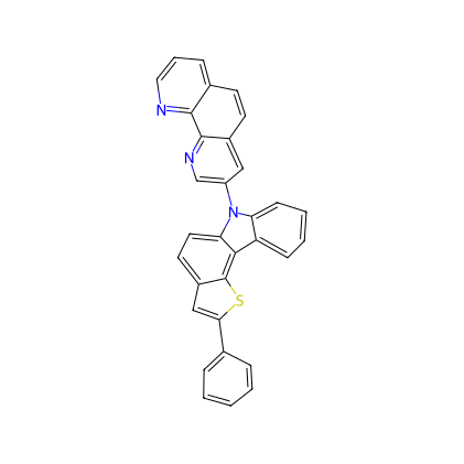 c1ccc(-c2cc3ccc4c(c5ccccc5n4-c4cnc5c(ccc6cccnc65)c4)c3s2)cc1